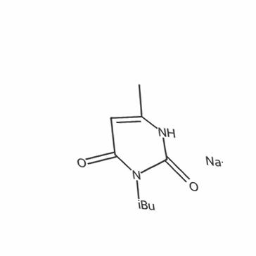 CCC(C)n1c(=O)cc(C)[nH]c1=O.[Na]